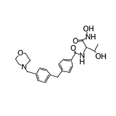 CC(O)C(NC(=O)c1ccc(Cc2ccc(CN3CCOCC3)cc2)cc1)C(=O)NO